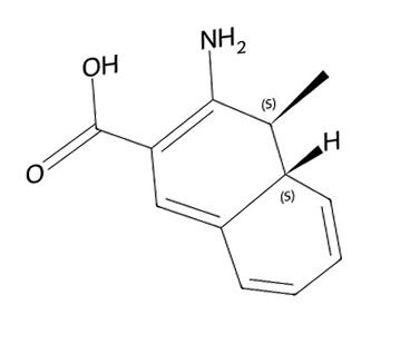 C[C@@H]1C(N)=C(C(=O)O)C=C2C=CC=C[C@H]21